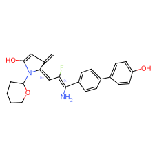 C=c1cc(O)n(C2CCCCO2)/c1=C/C(F)=C(\N)c1ccc(-c2ccc(O)cc2)cc1